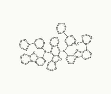 Cc1ccccc1-c1cccc2c1oc1c(N(c3cccc(-c4ccccc4)c3)c3c4ccccc4c(N(c4cccc(-c5ccccc5)c4)c4cccc5c4oc4ccccc45)c4c3oc3ccccc34)cccc12